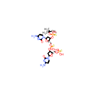 CC(C)(C)OP(O)(=S)OC1C[C@H](n2ccc(N)nc2=O)O[C@H]1COP(O)(=S)OC1C[C@H](n2ccc(N)nc2=O)O[C@H]1COP(O)(O)=S